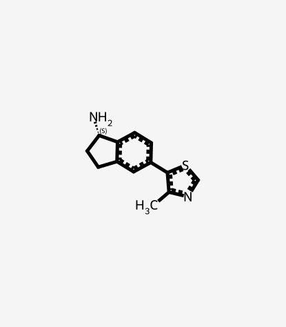 Cc1ncsc1-c1ccc2c(c1)CC[C@@H]2N